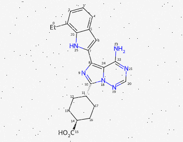 CCc1cccc2cc(-c3nc([C@H]4CC[C@H](C(=O)O)CC4)n4ncnc(N)c34)[nH]c12